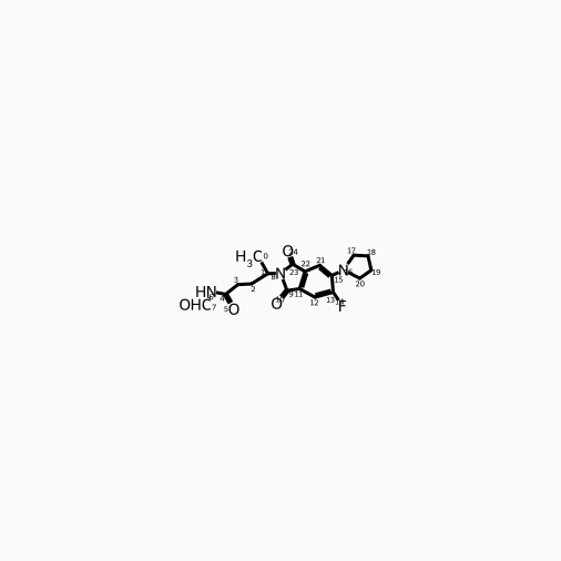 CC(CCC(=O)NC=O)N1C(=O)c2cc(F)c(N3CCCC3)cc2C1=O